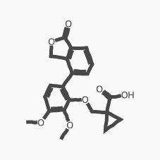 COc1ccc(-c2cccc3c2COC3=O)c(OCC2(C(=O)O)CC2)c1OC